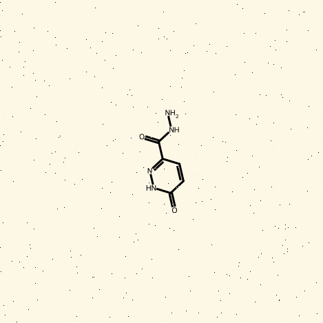 NNC(=O)c1ccc(=O)[nH]n1